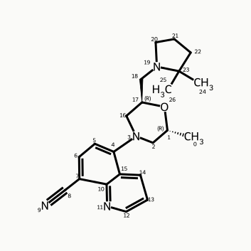 C[C@@H]1CN(c2ccc(C#N)c3ncccc23)C[C@@H](CN2CCCC2(C)C)O1